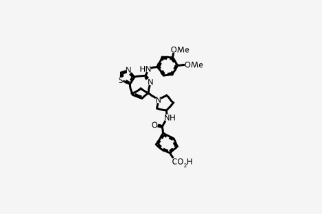 COc1ccc(NC2=NC3(N4CCC(NC(=O)c5ccc(C(=O)O)cc5)C4)C=C(C3)c3scnc32)cc1OC